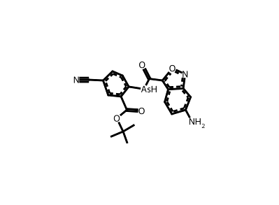 CC(C)(C)OC(=O)c1cc(C#N)ccc1[AsH]C(=O)c1onc2cc(N)ccc12